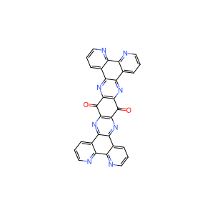 O=C1c2nc3c4cccnc4c4ncccc4c3nc2C(=O)c2nc3c4cccnc4c4ncccc4c3nc21